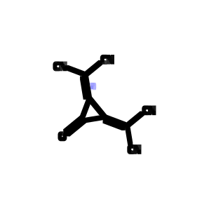 [C-]#[N+]/C(C#N)=c1\c(=O)c1=C(C#N)C#N